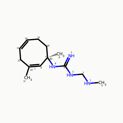 CNCNC(=N)N[C@@]1(C)/C=C(/C)CC=CCC1